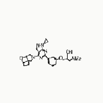 CNCC(O)COc1cccc(-c2nc(N3CC4OC5CCC54C3)c3cnn(C4CC4)c3n2)c1